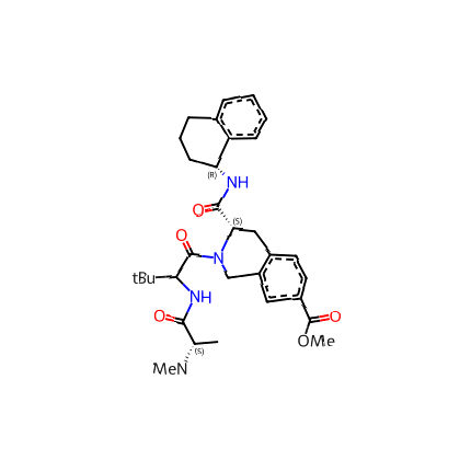 CN[C@@H](C)C(=O)NC(C(=O)N1Cc2cc(C(=O)OC)ccc2C[C@H]1C(=O)N[C@@H]1CCCc2ccccc21)C(C)(C)C